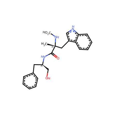 C[C@](Cc1c[nH]c2ccccc12)(NC(=O)O)C(=O)N[C@@H](CO)Cc1ccccc1